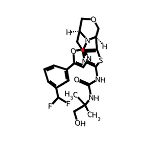 CC(C)(CO)NC(=O)Nc1nc2c(s1)[C@@H]1COC[C@H](C2)N1c1ncc(-c2cccc(C(F)F)c2)o1